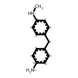 CNc1ccc(Cc2ccc(N)cc2)cc1